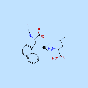 CBC.CC(C)CC(N)C(=O)O.O=C=NC(Cc1cccc2ccccc12)C(=O)O